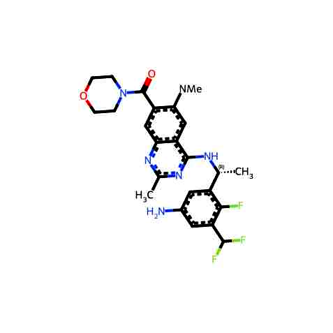 CNc1cc2c(N[C@H](C)c3cc(N)cc(C(F)F)c3F)nc(C)nc2cc1C(=O)N1CCOCC1